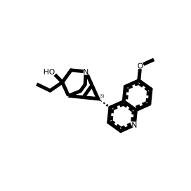 CCC1(O)CN2CCC1C1C2[C@@H]1c1ccnc2ccc(OC)cc12